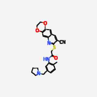 Cc1ccc(CN2CCCC2)cc1NC(=O)CSc1nc2cc3c(cc2cc1C#N)OCCO3